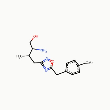 COc1ccc(Cc2nc(CC(C)C(N)CO)no2)cc1